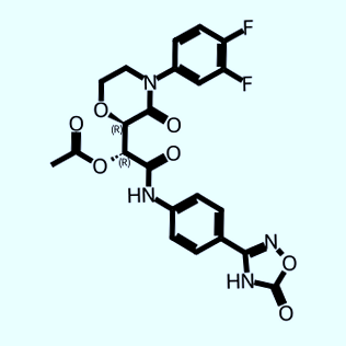 CC(=O)O[C@@H](C(=O)Nc1ccc(-c2noc(=O)[nH]2)cc1)[C@H]1OCCN(c2ccc(F)c(F)c2)C1=O